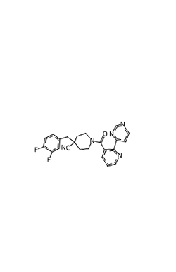 N#CC1(Cc2ccc(F)c(F)c2)CCN(C(=O)c2cccnc2-c2ccncn2)CC1